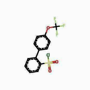 O=S(=O)(Cl)c1ccccc1-c1ccc(OC(F)(F)F)cc1